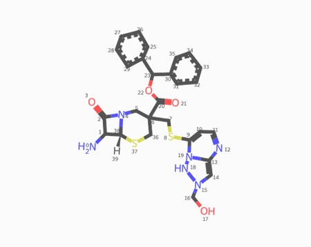 NC1C(=O)N2CC(CSC3=CC=NC4=CN(CO)NN43)(C(=O)OC(c3ccccc3)c3ccccc3)CS[C@H]12